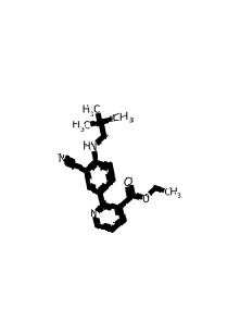 CCOC(=O)c1cccnc1-c1ccc(NCC(C)(C)C)c(C#N)c1